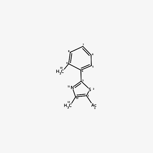 CC(=O)c1sc(-c2ccccc2C)nc1C